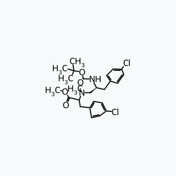 COC(=O)C(Cc1ccc(Cl)cc1)N(C)C[C@H](Cc1ccc(Cl)cc1)NC(=O)OC(C)(C)C